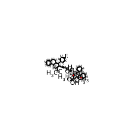 CC(C)c1nc2c(c(-c3ccc(F)cc3)c1C#CCO[PH](=O)C[C@H](CC(=O)O)O[Si](c1ccccc1)(c1ccccc1)C(C)(C)C)CCc1ccccc1-2